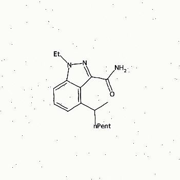 CCCCCC(C)c1cccc2c1c(C(N)=O)nn2CC